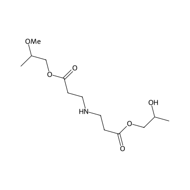 COC(C)COC(=O)CCNCCC(=O)OCC(C)O